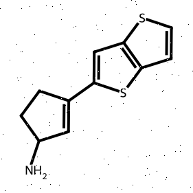 NC1C=C(c2cc3sccc3s2)CC1